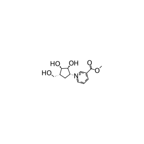 COC(=O)c1ccc[n+]([C@@H]2C[C@H](CO)[C@@H](O)[C@H]2O)c1